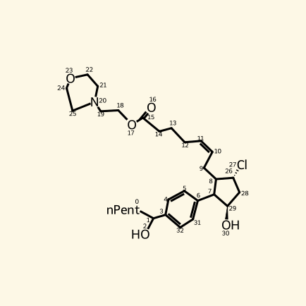 CCCCCC(O)c1ccc(C2C(C/C=C\CCCC(=O)OCCN3CCOCC3)[C@H](Cl)C[C@H]2O)cc1